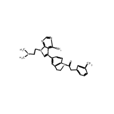 CN(C)CCn1cc(-c2ccc3c(c2)CCN3C(=O)Cc2cccc(C(F)(F)F)c2)c2c(N)ncnc21